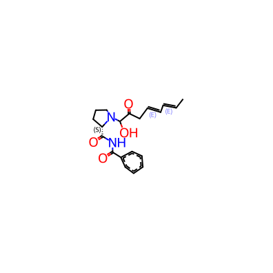 C/C=C/C=C/CC(=O)C(O)N1CCC[C@H]1C(=O)NC(=O)c1ccccc1